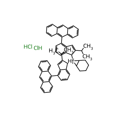 CC(C)C1=Cc2c(-c3c4ccccc4cc4ccccc34)cccc2[CH]1[Hf]1([CH]2C(C(C)C)=Cc3c(-c4c5ccccc5cc5ccccc45)cccc32)[CH]2CCCC[CH]21.Cl.Cl